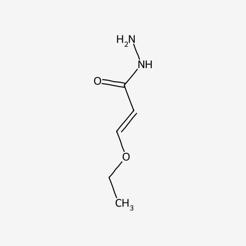 CCOC=CC(=O)NN